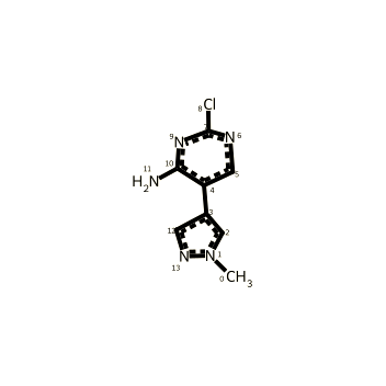 Cn1cc(-c2cnc(Cl)nc2N)cn1